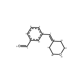 O=Cc1cccc(C=C2CCOCC2)c1